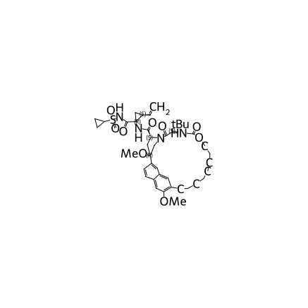 C=C[C@@H]1C[C@]1(NC(=O)[C@@H]1C[C@]2(OC)CN1C(=O)[C@H](C(C)(C)C)NC(=O)OCCCCCCCCc1cc3cc2ccc3cc1OC)C(=O)NS(=O)(=O)C1CC1